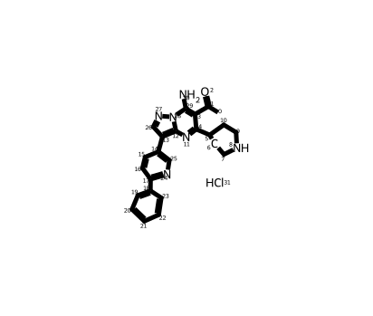 CC(=O)c1c(C2CCNCC2)nc2c(-c3ccc(-c4ccccc4)nc3)cnn2c1N.Cl